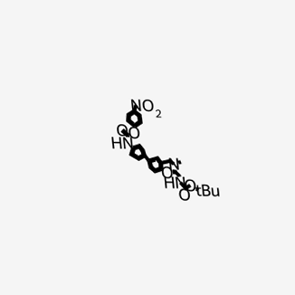 CN(Cc1cccc(-c2ccc(NC(=O)Oc3ccc([N+](=O)[O-])cc3)cc2)c1)C(=O)CNC(=O)OC(C)(C)C